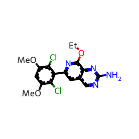 CCOc1nc(-c2c(Cl)c(OC)cc(OC)c2Cl)cc2cnc(N)nc12